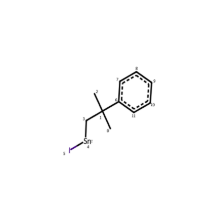 CC(C)([CH2][Sn][I])c1ccccc1